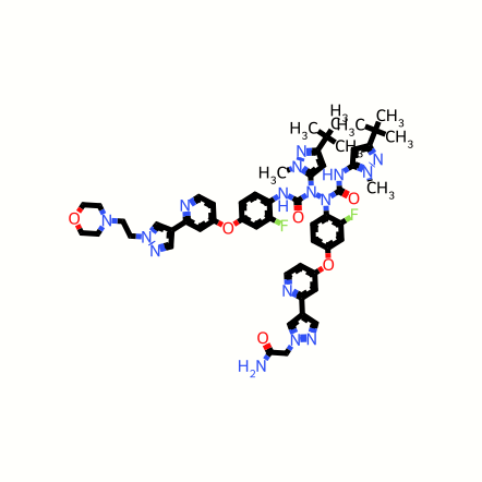 Cn1nc(C(C)(C)C)cc1NC(=O)N(c1ccc(Oc2ccnc(-c3cnn(CC(N)=O)c3)c2)cc1F)N(C(=O)Nc1ccc(Oc2ccnc(-c3cnn(CCN4CCOCC4)c3)c2)cc1F)c1cc(C(C)(C)C)nn1C